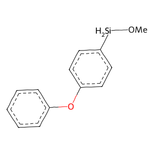 CO[SiH2]c1ccc(Oc2ccccc2)cc1